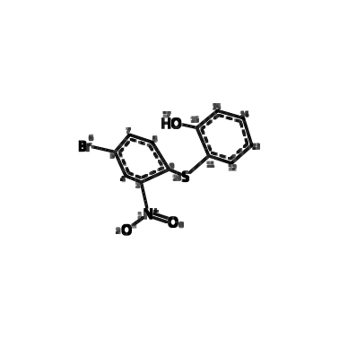 O=[N+]([O-])c1cc(Br)ccc1Sc1ccccc1O